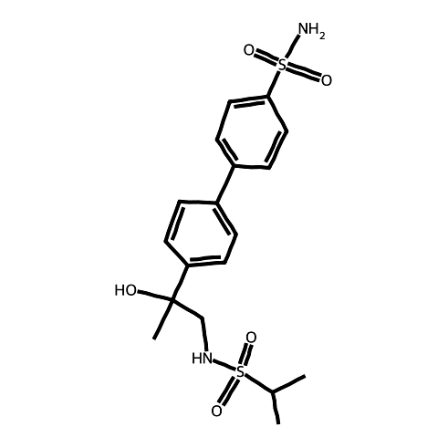 CC(C)S(=O)(=O)NCC(C)(O)c1ccc(-c2ccc(S(N)(=O)=O)cc2)cc1